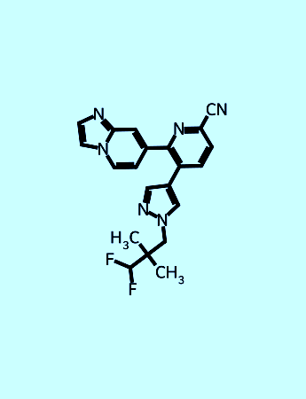 CC(C)(Cn1cc(-c2ccc(C#N)nc2-c2ccn3ccnc3c2)cn1)C(F)F